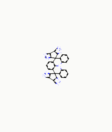 c1ccc2c(c1)N1c3ccccc3C3(c4cccc(c41)C21c2ncncc2-c2cncnc21)c1ncncc1-c1cncnc13